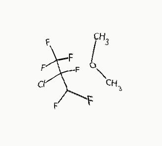 COC.FC(F)C(F)(Cl)C(F)(F)F